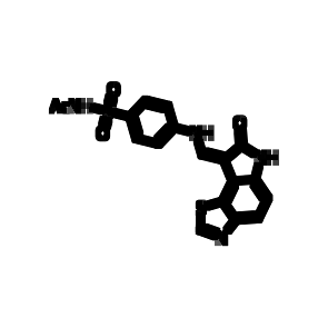 CC(=O)NS(=O)(=O)c1ccc(NC=C2C(=O)Nc3ccc4ncsc4c32)cc1